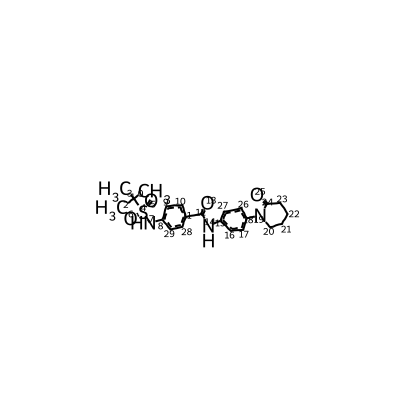 CC(C)(C)S(=O)(=O)Nc1ccc(C(=O)Nc2ccc(N3CCCCC3=O)cc2)cc1